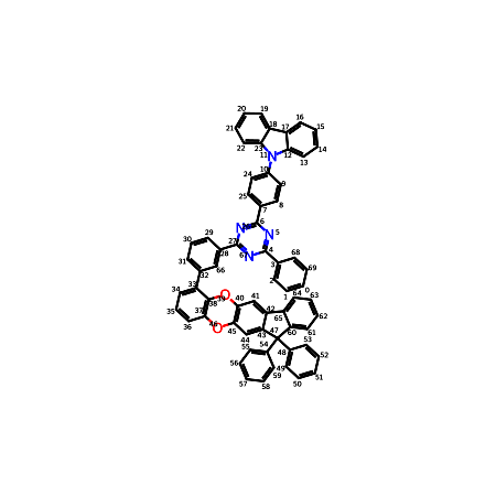 c1ccc(-c2nc(-c3ccc(-n4c5ccccc5c5ccccc54)cc3)nc(-c3cccc(-c4cccc5c4Oc4cc6c(cc4O5)C(c4ccccc4)(c4ccccc4)c4ccccc4-6)c3)n2)cc1